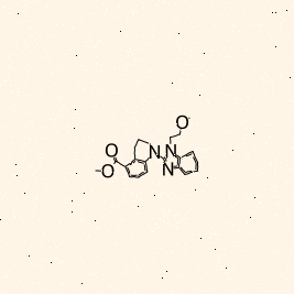 COCCn1c(N2CCCc3c(C(=O)OC)cccc32)nc2ccccc21